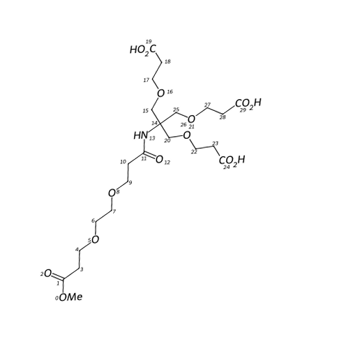 COC(=O)CCOCCOCCC(=O)NC(COCCC(=O)O)(COCCC(=O)O)COCCC(=O)O